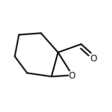 O=CC12CCCCC1O2